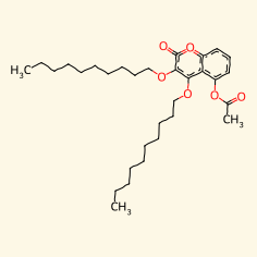 CCCCCCCCCCOc1c(OCCCCCCCCCC)c2c(OC(C)=O)cccc2oc1=O